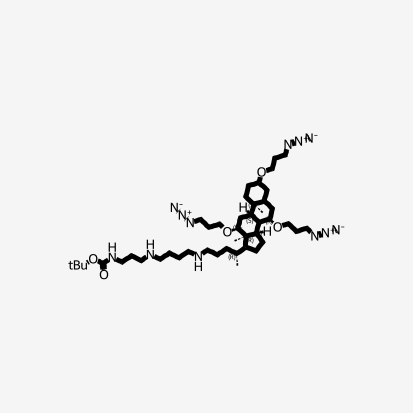 C[C@H](CCCNCCCCNCCCNC(=O)OC(C)(C)C)C1CC[C@H]2C3[C@H](OCCCN=[N+]=[N-])CC4CC(OCCCN=[N+]=[N-])CC[C@]4(C)[C@H]3C[C@H](OCCCN=[N+]=[N-])[C@]12C